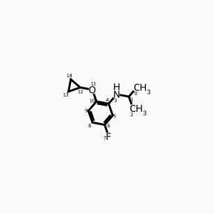 CC(C)Nc1cc(F)ccc1OC1CC1